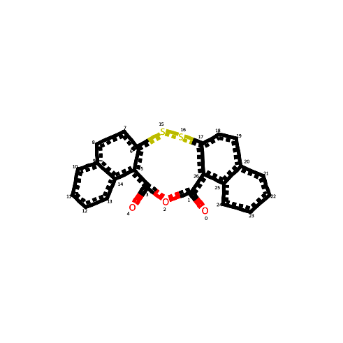 O=c1oc(=O)c2c(ccc3ccccc32)ssc2ccc3ccccc3c12